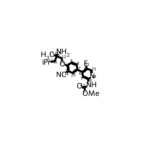 COC(=O)Nc1cc(-c2ccc(OCC(C)(N)CC(C)C)c(C#N)c2)c(F)cn1